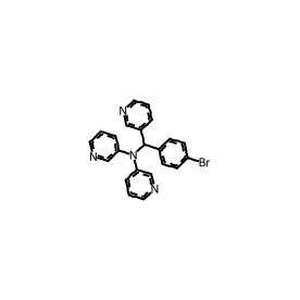 Brc1ccc(C(c2cccnc2)N(c2cccnc2)c2cccnc2)cc1